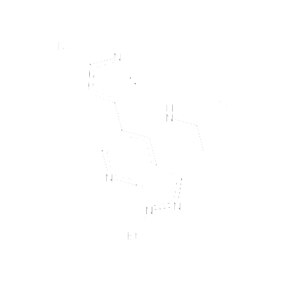 CCn1ncc2c(N[C@@H](C)C(C)C)c(-c3nnc(C(C)(C)C)o3)cnc21